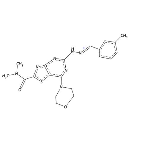 Cc1cccc(/C=N/Nc2nc(N3CCOCC3)c3sc(C(=O)N(C)C)nc3n2)c1